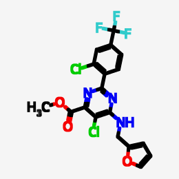 COC(=O)c1nc(-c2ccc(C(F)(F)F)cc2Cl)nc(NCc2ccco2)c1Cl